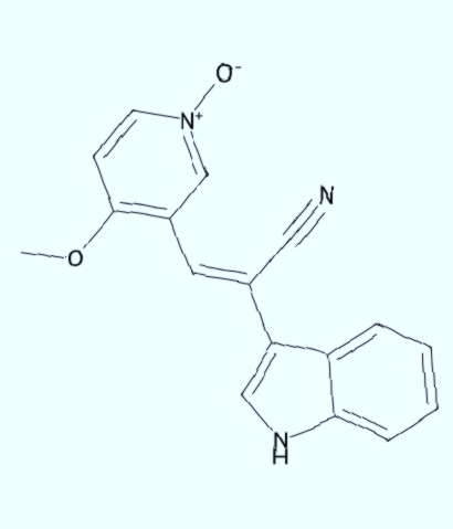 COc1cc[n+]([O-])cc1C=C(C#N)c1c[nH]c2ccccc12